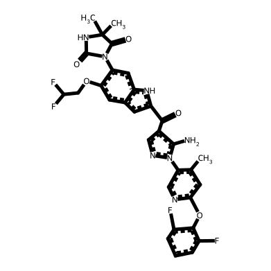 Cc1cc(Oc2c(F)cccc2F)ncc1-n1ncc(C(=O)c2cc3cc(OCC(F)F)c(N4C(=O)NC(C)(C)C4=O)cc3[nH]2)c1N